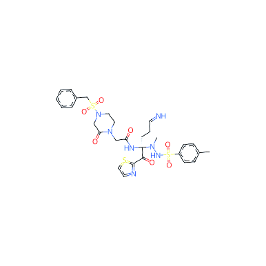 Cc1ccc(S(=O)(=O)NN(C)[C@](CCC=N)(NC(=O)CN2CCN(S(=O)(=O)Cc3ccccc3)CC2=O)C(=O)c2nccs2)cc1